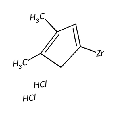 CC1=C(C)C[C]([Zr])=C1.Cl.Cl